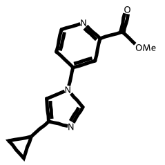 COC(=O)c1cc(-n2cnc(C3CC3)c2)ccn1